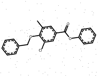 Cc1cc(C(=O)Oc2ccccc2)cc(Cl)c1OCc1ccccc1